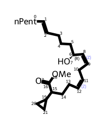 CCCCCC=CCCC[C@@H](O)/C=C\C/C=C\CCC(C(=O)OC)C1CC1